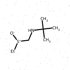 CC[S+]([O-])CNC(C)(C)C